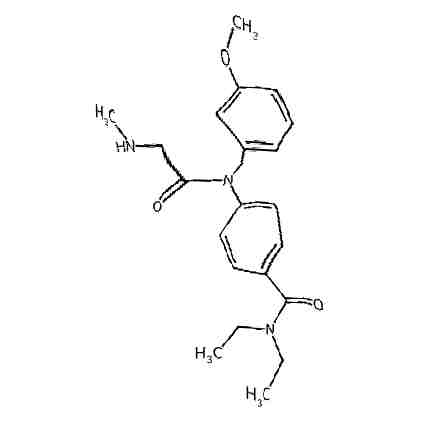 CCN(CC)C(=O)c1ccc(N(C(=O)CNC)c2cccc(OC)c2)cc1